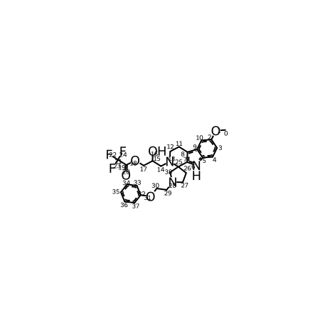 COc1ccc2[nH]c3c(c2c1)CCN(CC(O)COC(=O)C(F)(F)F)C31CCN(CCOc2ccccc2)C1